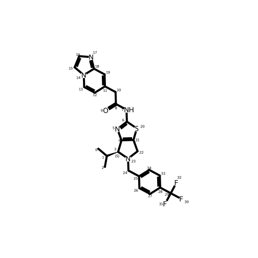 CC(C)[C@H]1c2nc(NC(=O)Cc3ccn4ccnc4c3)sc2CN1Cc1ccc(C(F)(F)F)cc1